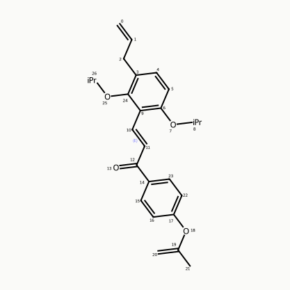 C=CCc1ccc(OC(C)C)c(/C=C/C(=O)c2ccc(OC(=C)C)cc2)c1OC(C)C